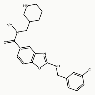 CCCN(CC1CCCNC1)C(=O)c1ccc2oc(NCc3cccc(Cl)c3)nc2c1